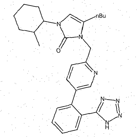 CCCCc1cn(C2CCCCC2C)c(=O)n1Cc1ccc(-c2ccccc2-c2nnn[nH]2)cn1